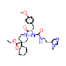 CCOC(=O)C1(C2CCCCC2)CCN(C(=O)[C@@H](Cc2ccc(OC)cc2)NC(=O)NCCc2cncn2C)CC1